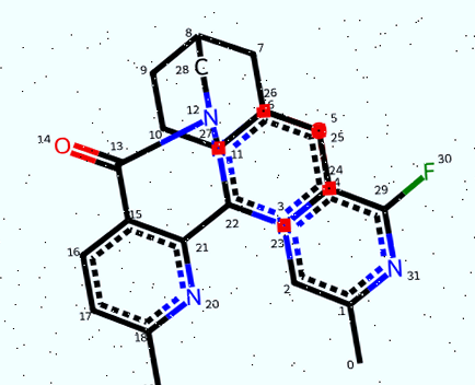 Cc1cnc(OC2CC3CCC2N(C(=O)c2ccc(C)nc2-c2ncccn2)C3)c(F)n1